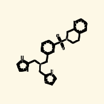 O=S(=O)(c1cccc(CN(Cc2ncc[nH]2)Cc2ncc[nH]2)c1)N1CCc2cccnc2C1